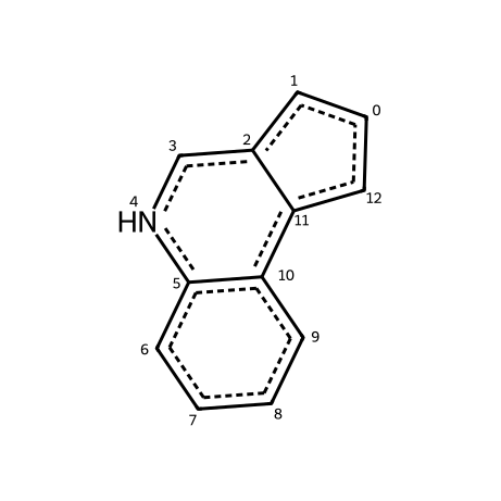 c1cc2c[nH]c3ccccc3c-2c1